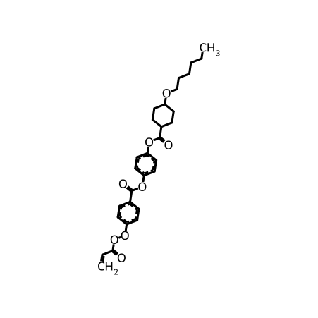 C=CC(=O)OOc1ccc(C(=O)Oc2ccc(OC(=O)C3CCC(OCCCCCC)CC3)cc2)cc1